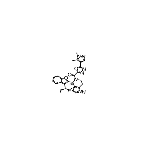 Cc1c(-c2nnc(C(=O)N3CCc4[nH]cnc4[C@H]3c3oc4ccccc4c3C(F)F)o2)cnn1C